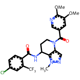 COc1cc(C(=O)N2CCC(NC(=O)c3ccc(Cl)cc3C(F)(F)F)c3c2cnn3C)cnc1OC